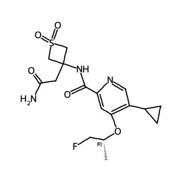 C[C@H](CF)Oc1cc(C(=O)NC2(CC(N)=O)CS(=O)(=O)C2)ncc1C1CC1